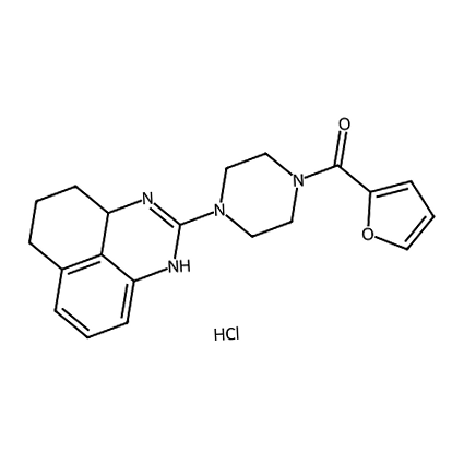 Cl.O=C(c1ccco1)N1CCN(C2=NC3CCCc4cccc(c43)N2)CC1